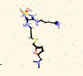 CN(C)Cc1ccc(CSCCNC2=NS(=O)(=O)N=C2NCCCC#N)o1